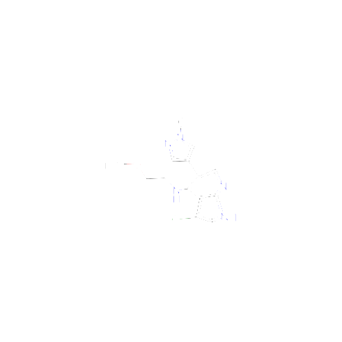 COCCNc1c(-c2cnn(C)c2)cnc2[nH]cc(Cl)c12